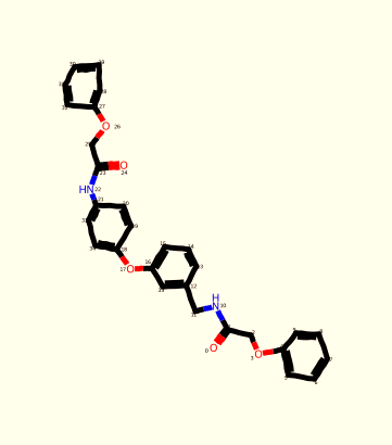 O=C(COc1ccccc1)NCc1cccc(Oc2ccc(NC(=O)COc3ccccc3)cc2)c1